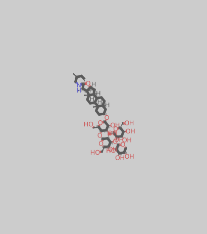 C[C@H]1CC[C@]2(NC1)O[C@H]1C[C@H]3[C@@H]4CC[C@H]5C[C@@H](O[C@@H]6O[C@H](CO)[C@H](O[C@H]7O[C@H](CO)[C@@H](O)[C@H](O[C@@H]8OC[C@@H](O)[C@H](O)[C@H]8O)[C@H]7C[C@@H]7O[C@H](CO)[C@@H](O)[C@H](O)[C@H]7O)[C@H](O)[C@H]6O)CC[C@]5(C)[C@H]4CC[C@]3(C)[C@H]1[C@@H]2C